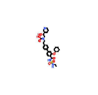 CCNS(=O)(=O)NC(=O)c1ccc(-c2ccc(CCN(C[C@@H](O)c3cccnc3)C(=O)O)cc2)cc1OC1CCCCC1